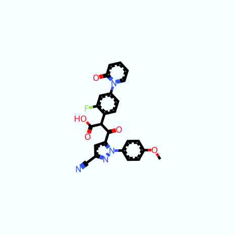 COc1ccc(-n2nc(C#N)cc2C(=O)C(C(=O)O)c2ccc(-n3ccccc3=O)cc2F)cc1